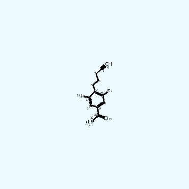 C#CCCCc1c(F)cc(C(N)=O)cc1F